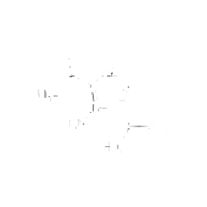 CC(C)c1csc(C(C)C)[n+]1N